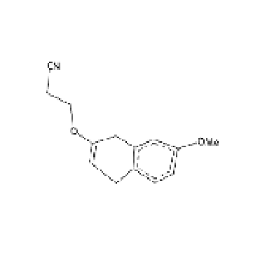 COc1ccc2c(c1)CC(OCCC#N)=CC2